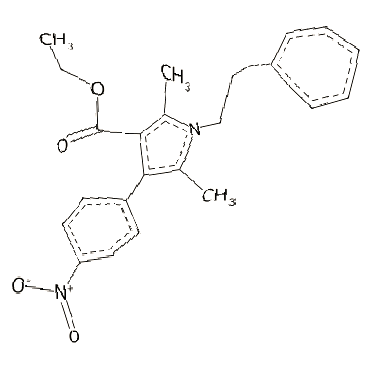 CCOC(=O)c1c(-c2ccc([N+](=O)[O-])cc2)c(C)n(CCc2ccccc2)c1C